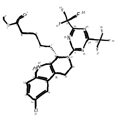 COC(=O)CCCC[C@H]1c2[nH]c3ccc(Cl)cc3c2CCN1c1nc(C(F)(F)F)nc(C(F)(F)F)n1